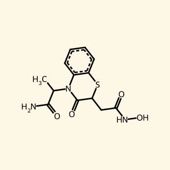 CC(C(N)=O)N1C(=O)C(CC(=O)NO)Sc2ccccc21